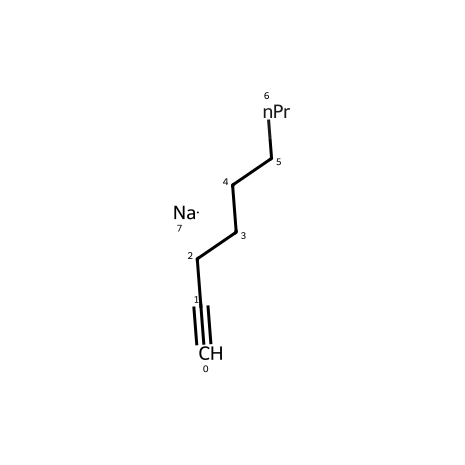 C#CCCCCCCC.[Na]